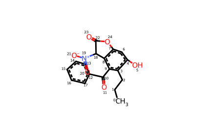 CCCc1c(O)cc2c(c1C(=O)c1ccccc1)C([N+](=O)[O-])C(=O)O2